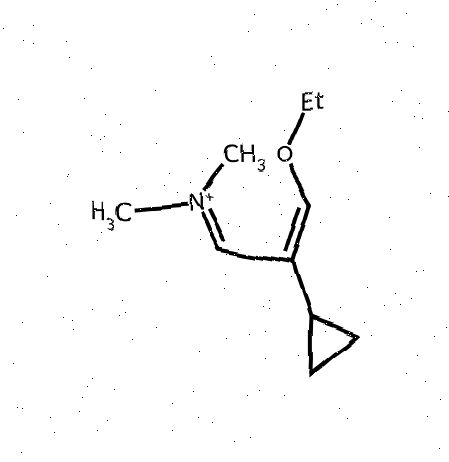 CCOC=C(C=[N+](C)C)C1CC1